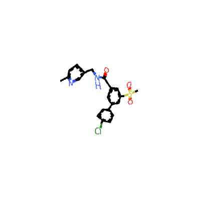 Cc1ccc(CNC(=O)c2cc(-c3ccc(Cl)cc3)cc(S(C)(=O)=O)c2)cn1